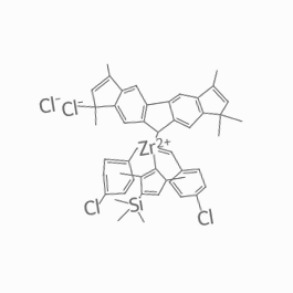 CC1=CC(C)(C)c2cc3c(cc21)-c1cc2c(cc1[CH]3[Zr+2](=[CH]c1ccc(Cl)cc1)(=[CH]c1ccc(Cl)cc1)[C]1=C(C)C([Si](C)(C)C)=CC1C)C(C)(C)C=C2C.[Cl-].[Cl-]